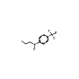 CCCC(F)c1ccc(C(F)(F)F)cc1